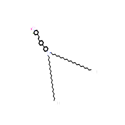 CCCCCCCCCCCCCCCCCCCCCCN(CCCCCCCCCCCCCCCCCCCCCC)c1ccc(-c2ccc(C=Cc3ccc([N+](=O)[O-])c(F)c3)cc2)cc1